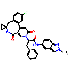 Cn1cc2cc(NC(=O)C(Cc3ccccc3)n3cc4c(cc3=O)-c3cc(Cl)ccc3CC3(CC3)NC4=O)ccc2n1